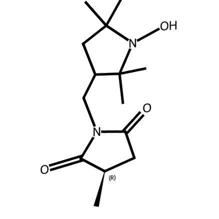 C[C@@H]1CC(=O)N(CC2CC(C)(C)N(O)C2(C)C)C1=O